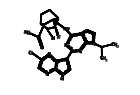 CC(C)n1ccc2c(N[C@H]3C4CCC(CC4)[C@@H]3C(=O)O)nc(-c3c[nH]c4ncc(Cl)nc34)nc21